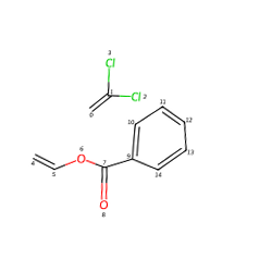 C=C(Cl)Cl.C=COC(=O)c1ccccc1